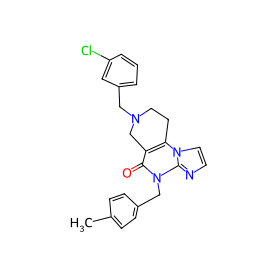 Cc1ccc(Cn2c(=O)c3c(n4ccnc24)CCN(Cc2cccc(Cl)c2)C3)cc1